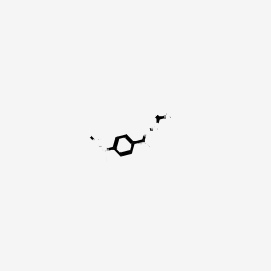 C[C@H](SNC(N)=O)c1ccc(NS(C)(=O)=O)cc1